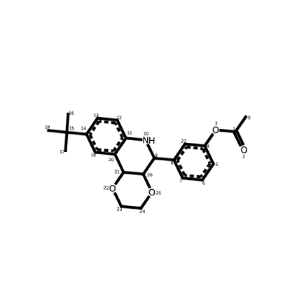 CC(=O)Oc1cccc(C2Nc3ccc(C(C)(C)C)cc3C3OCCOC23)c1